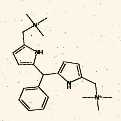 C[N+](C)(C)Cc1ccc(C(c2ccccc2)c2ccc(C[N+](C)(C)C)[nH]2)[nH]1